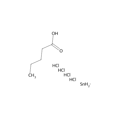 CCCCC(=O)O.Cl.Cl.Cl.Cl.[SnH2]